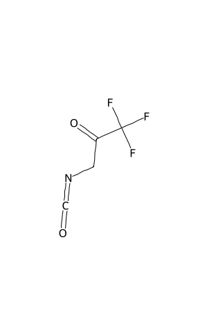 O=C=NCC(=O)C(F)(F)F